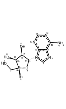 CC[C@]1(CO)O[C@@H](n2cnc3c(N)ncnc32)[C@H](O)[C@@H]1O